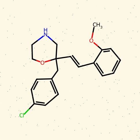 COc1ccccc1C=CC1(Cc2ccc(Cl)cc2)CNCCO1